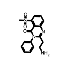 CS(=O)(=O)c1cccc2nc(CCN)n(-c3ccccc3)c(=O)c12